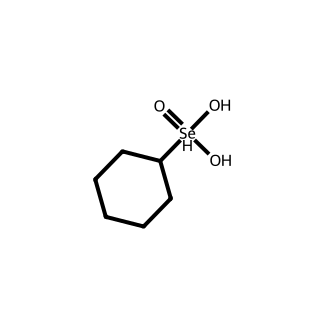 O=[SeH](O)(O)C1CCCCC1